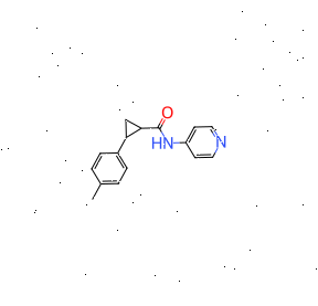 Cc1ccc(C2CC2C(=O)Nc2ccncc2)cc1